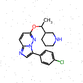 CC(Oc1ccc2ncc(-c3ccc(Cl)cc3)n2n1)C1CCCNC1